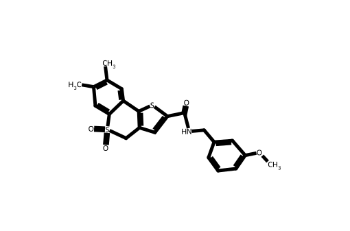 COc1cccc(CNC(=O)c2cc3c(s2)-c2cc(C)c(C)cc2S(=O)(=O)C3)c1